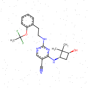 CC(F)(F)Oc1ccccc1CCNc1ncc(C#N)c(N[C@@H]2C[C@H](O)C2(C)C)n1